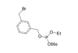 CCOP(OC)OCc1cccc(CBr)c1